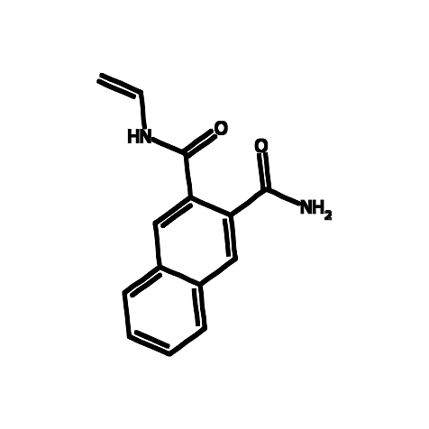 C=CNC(=O)c1cc2ccccc2cc1C(N)=O